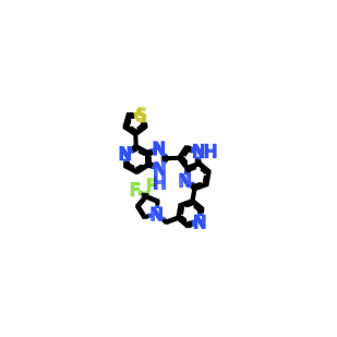 FC1(F)CCN(Cc2cncc(-c3ccc4[nH]cc(-c5nc6c(-c7ccsc7)nccc6[nH]5)c4n3)c2)C1